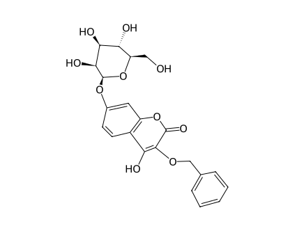 O=c1oc2cc(O[C@@H]3O[C@H](CO)[C@@H](O)[C@H](O)[C@@H]3O)ccc2c(O)c1OCc1ccccc1